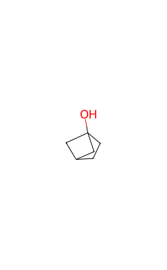 OC12CCC(C1)C2